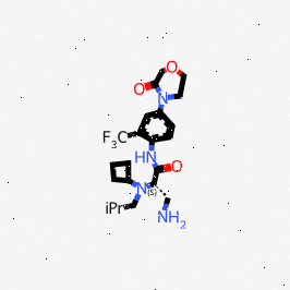 CC(C)CN(C1CCC1)[C@@H](CN)C(=O)Nc1ccc(N2CCOCC2=O)cc1C(F)(F)F